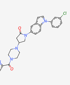 O=C(c1cscn1)N1CCN(C2CC(=O)N(c3ccc4c(ccn4-c4cccc(Cl)c4)c3)C2)CC1